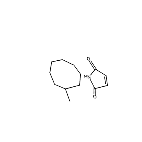 CC1CCCCCCC1.O=C1C=CC(=O)N1